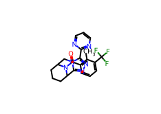 Cc1c(C(=O)N2C3CCCC2c2nnc(-c4ncccn4)n2C3)cccc1C(F)(F)F